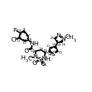 CN1[C@H](C(=O)Nc2ccc(F)c(Cl)c2)C[C@H](c2cc(-c3cnn(C)c3)cs2)NS1(=O)=O